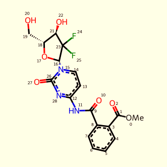 COC(=O)c1ccccc1C(=O)Nc1ccn([C@@H]2O[C@H](CO)[C@@H](O)C2(F)F)c(=O)n1